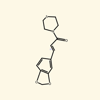 O=C(/C=C/c1ccc2c(c1)OCO2)N1CCSCC1